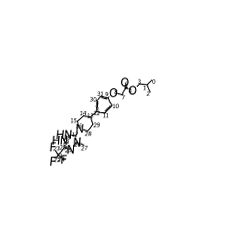 CC(C)COC(=O)COc1ccc(C2CCN(C3NNC(C(F)(F)F)=NN3C)CC2)cc1